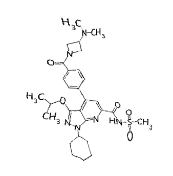 CC(C)Oc1nn(C2CCCCC2)c2nc(C(=O)NS(C)(=O)=O)cc(-c3ccc(C(=O)N4CC(N(C)C)C4)cc3)c12